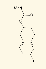 CNC(=O)OC1CCc2cc(F)cc(F)c2C1